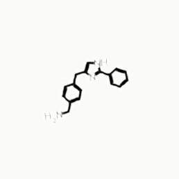 NCc1ccc(Cc2c[nH]c(-c3ccccc3)n2)cc1